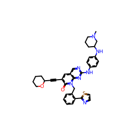 CN1CCCC(Nc2ccc(Nc3ncc4cc(C#CC5CCCCO5)c(=O)n(Cc5ccccc5-c5nccs5)c4n3)cc2)C1